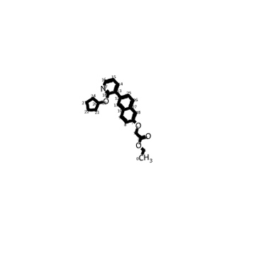 CCOC(=O)COc1ccc2cc(-c3cccnc3OC3CCCC3)ccc2c1